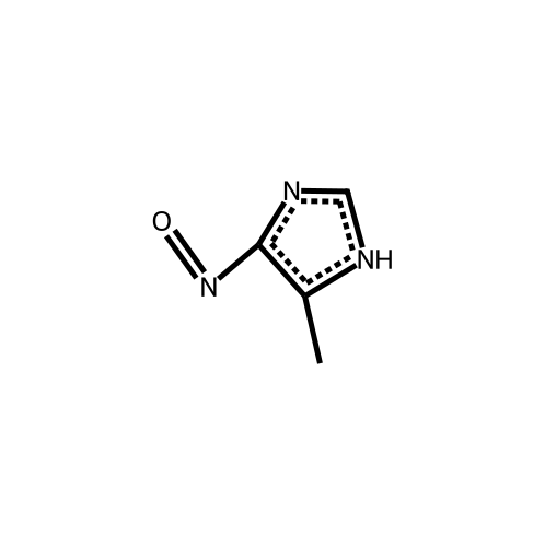 Cc1[nH]cnc1N=O